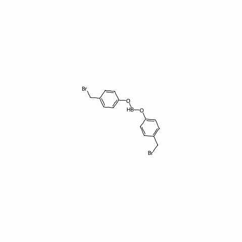 BrCc1ccc(OBOc2ccc(CBr)cc2)cc1